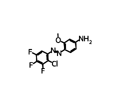 COc1cc(N)ccc1N=Nc1cc(F)c(F)c(F)c1Cl